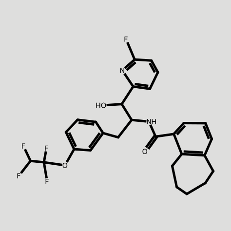 O=C(NC(Cc1cccc(OC(F)(F)C(F)F)c1)C(O)c1cccc(F)n1)c1cccc2c1CCCCC2